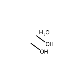 CO.CO.O